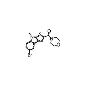 Cn1c2ccc(Br)cc2c2cc(C(=O)N3CCOCC3)sc21